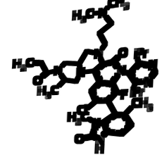 C=CC(=O)N1CC2CN(CCCN(C)C)c3c(c4cc(Cl)c(-c5c(C)ccc6[nH]c(=O)n(C)c56)c(F)c4n(-c4c(C(C)C)ncnc4C(C)C)c3=O)N2CC1C